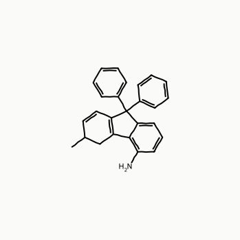 CC1C=CC2=C(C1)c1c(N)cccc1C2(c1ccccc1)c1ccccc1